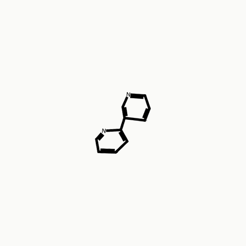 [c]1ccnc(-c2[c]ccnc2)c1